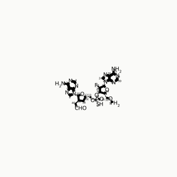 Nc1ncnc2c1ncn2[C@@H]1O[C@H](COP(=O)(S)O[C@H]2[C@@H](F)[C@H](n3cnc4c(N)ncnc43)O[C@@H]2COP)C[C@H]1CC=O